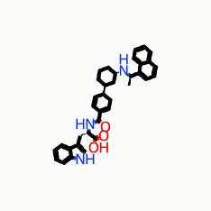 C[C@@H](N[C@H]1CCC[C@H](C2C=CC(C(=O)N[C@@H](Cc3c[nH]c4ccccc34)C(=O)O)=CC2)C1)c1cccc2ccccc12